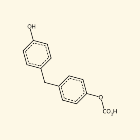 O=C(O)Oc1ccc(Cc2ccc(O)cc2)cc1